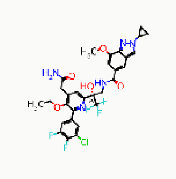 CCOc1c(CC(N)=O)cc([C@@](O)(CNC(=O)c2cc(OC)c3nn(C4CC4)cc3c2)C(F)(F)F)nc1-c1cc(F)c(F)c(Cl)c1